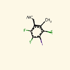 Cc1c(F)c(I)c(F)c(F)c1C#N